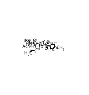 C=CC[C@H]1CC2(CCN(S(=O)(=O)c3ccc(C)cc3)C2)C[C@]1(NC(C)=O)C(=O)NC(C)(C)C